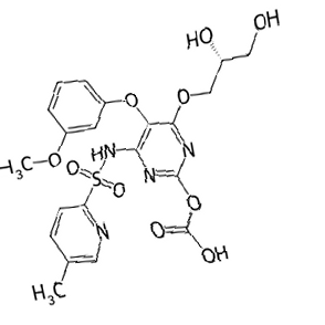 COc1cccc(Oc2c(NS(=O)(=O)c3ccc(C)cn3)nc(OC(=O)O)nc2OC[C@H](O)CO)c1